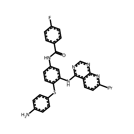 CC(C)c1ccc2c(Nc3cc(NC(=O)c4ccc(F)cc4)ccc3Sc3ccc(N)cc3)ncnc2n1